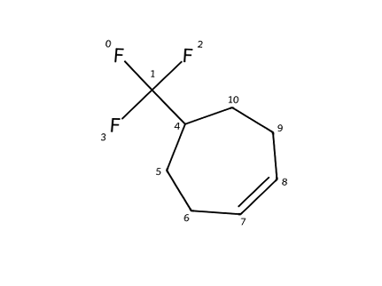 FC(F)(F)C1CCC=CCC1